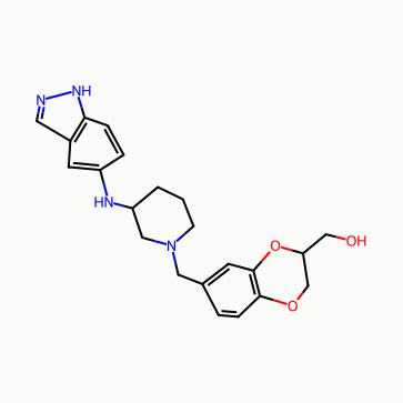 OCC1COc2ccc(CN3CCCC(Nc4ccc5[nH]ncc5c4)C3)cc2O1